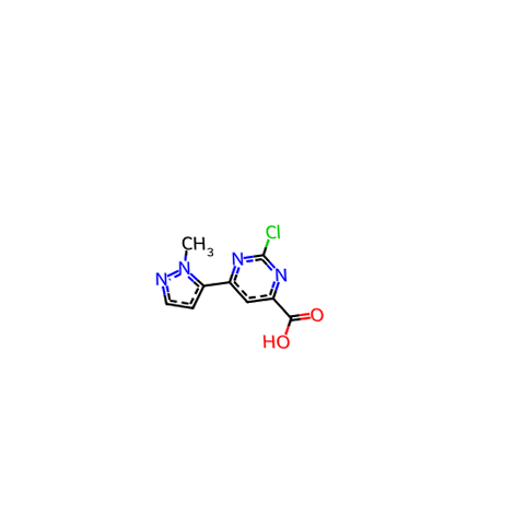 Cn1nccc1-c1cc(C(=O)O)nc(Cl)n1